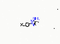 CCc1c(C)nc(-c2ccc(CC(C)(C)C)cc2)nc1N